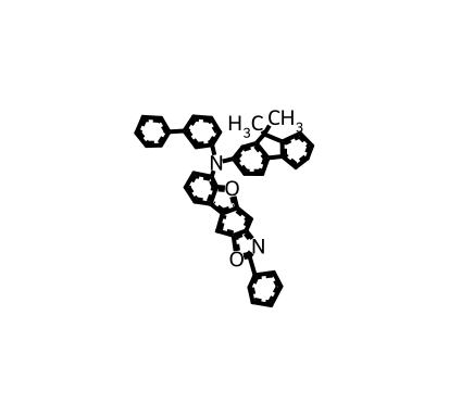 CC1(C)c2ccccc2-c2ccc(N(c3cccc(-c4ccccc4)c3)c3cccc4c3oc3cc5nc(-c6ccccc6)oc5cc34)cc21